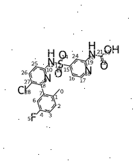 Cc1ccc(F)cc1-c1nc(NS(=O)(=O)c2ccnc(NC(=O)O)c2)ccc1Cl